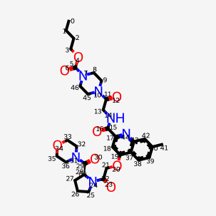 CCCCOC(=O)N1CCN(C(=O)CNC(=O)c2cc(OCC(=O)N3CCC[C@H]3C(=O)N3CCOCC3)c3ccc(C)cc3n2)CC1